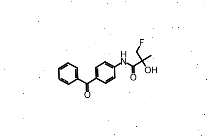 CC(O)(CF)C(=O)Nc1ccc(C(=O)c2ccccc2)cc1